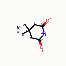 CC1(C)CC(=O)[N-]C(=O)C1.[K+]